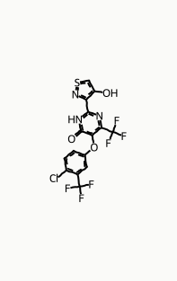 O=c1[nH]c(-c2nscc2O)nc(C(F)(F)F)c1Oc1ccc(Cl)c(C(F)(F)F)c1